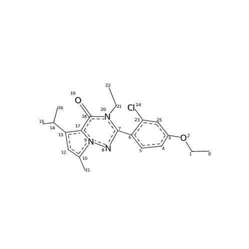 CCOc1ccc(-c2nn3c(C)cc(C(C)C)c3c(=O)n2CC)c(Cl)c1